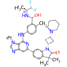 Cc1ccc(Nc2nc(-c3ccc4c(c3)N([C@H]3C[C@@H](N5CCCCC5)C3)C(=O)C4(C)C)cc3ncn(C(C)C)c23)cc1C(O)N[C@@H](C)C(F)F